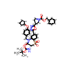 CC(C)(C)OC(=O)N[C@H]1CS(=O)(=O)c2ccc(-c3nnc(C4CCN(C(=O)OCc5ccccc5)C4)o3)cc2N(Cc2ccc(OC3CCCC3)cc2)C1=O